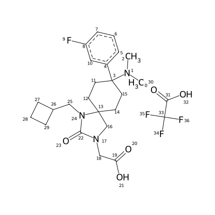 CN(C)C1(c2cccc(F)c2)CCC2(CC1)CN(CC(=O)O)C(=O)N2CC1CCC1.O=C(O)C(F)(F)F